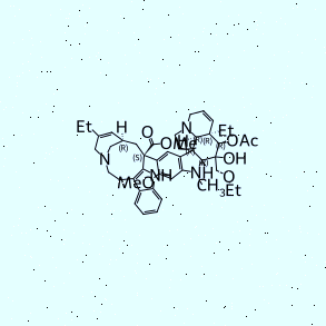 CCOCC1(O)[C@H](OC(C)=O)[C@]2(CC)C=CCN3CC[C@@]4(c5cc([C@@]6(C(=O)OC)C[C@@H]7C=C(CC)CN(CCc8c6[nH]c6ccccc86)C7)c(OC)cc5N(C)[C@@H]14)[C@@H]32